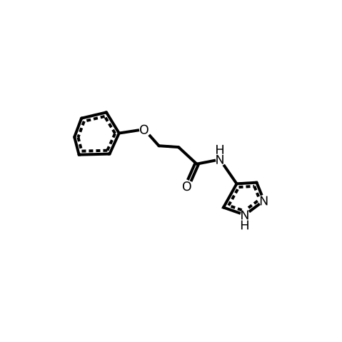 O=C(CCOc1ccccc1)Nc1cn[nH]c1